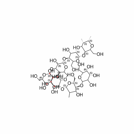 CC1C(O)[C@H](OC2OC(CO)[C@H](O)[C@H](O)C2O)[C@H](CO)O[C@H]1O[C@@H]1C(O)[C@H](O)C(CO)O[C@@H]1OCC1O[C@@H](O[C@@H]2C(CO)O[C@@H](O[C@@H]3C(CO)O[C@@H](C)[C@@H](C)C3O)[C@@H](C)C2O)[C@H](O)C(O[C@H]2O[C@H](CO)[C@@H](O)C(O)C2O)[C@@H]1O